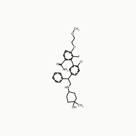 COCCOc1ccc(C(N)=O)c(-c2cc(C(CNC3CCC(C)(O)CC3)c3ccccc3)ccc2Cl)c1F